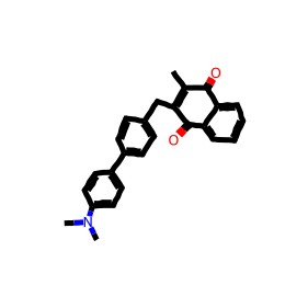 CC1=C(Cc2ccc(-c3ccc(N(C)C)cc3)cc2)C(=O)c2ccccc2C1=O